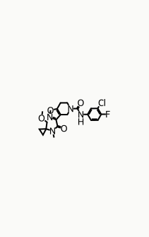 COCC1(N(C)C(=O)c2noc3c2CN(C(=O)Nc2ccc(F)c(Cl)c2)CC3)CC1